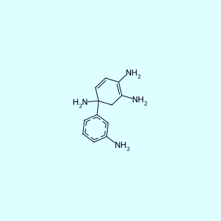 NC1=C(N)CC(N)(c2cccc(N)c2)C=C1